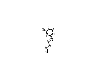 Fc1cccc(OCCCI)c1